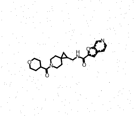 O=C(NCC1CC12CCN(C(=O)C1CCOCC1)CC2)c1cc2ccncc2o1